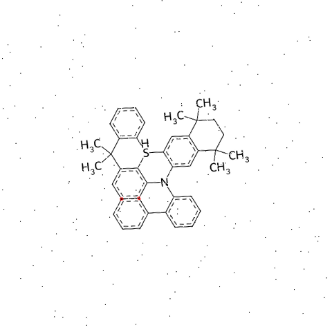 CC1(C)CCC(C)(C)c2cc3c(cc21)N(c1ccccc1-c1ccccc1)c1cccc2c1[SH]3c1ccccc1C2(C)C